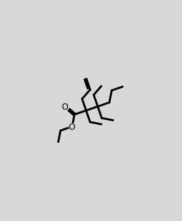 C=CCC(CC)(C(=O)OCC)C(CC)(CC)CCC